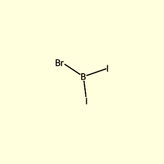 BrB(I)I